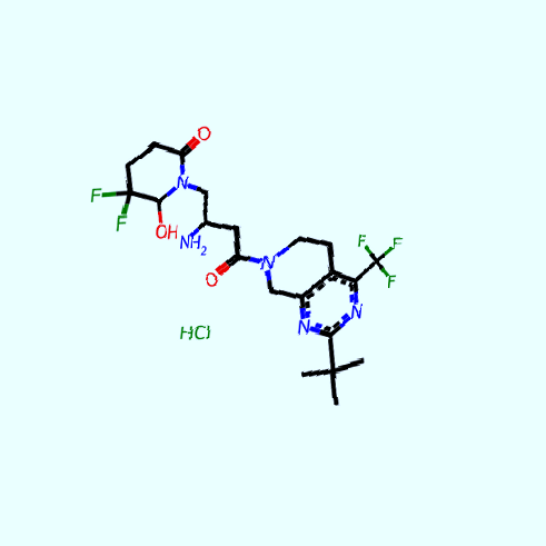 CC(C)(C)c1nc2c(c(C(F)(F)F)n1)CCN(C(=O)CC(N)CN1C(=O)CCC(F)(F)C1O)C2.Cl